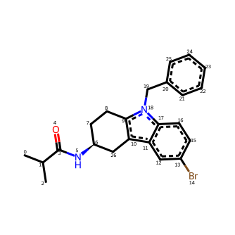 CC(C)C(=O)N[C@H]1CCc2c(c3cc(Br)ccc3n2Cc2ccccc2)C1